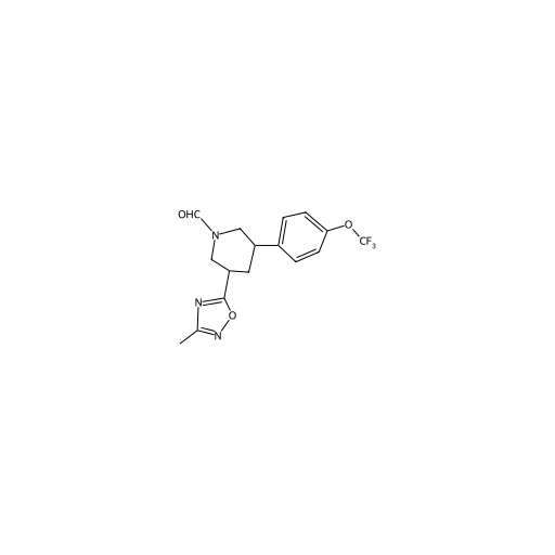 Cc1noc(C2CC(c3ccc(OC(F)(F)F)cc3)CN(C=O)C2)n1